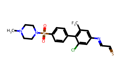 CN1CCN(S(=O)(=O)c2ccc(-c3c(Cl)cc(N=CC=S)cc3C(F)(F)F)cc2)CC1